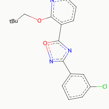 CC(C)(C)COc1ncccc1-c1nc(-c2cccc(Cl)c2)no1